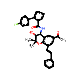 CC(=O)c1cc(C=Cc2ccccc2)c2c(c1)C(NC(=O)c1ccccc1-c1ccc(F)cc1)C(O)C(C)(C)O2